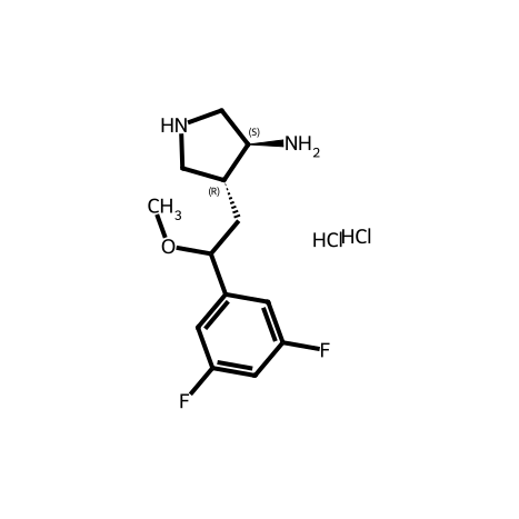 COC(C[C@@H]1CNC[C@H]1N)c1cc(F)cc(F)c1.Cl.Cl